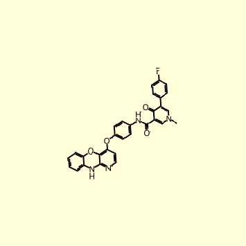 Cn1cc(C(=O)Nc2ccc(Oc3ccnc4c3Oc3ccccc3N4)cc2)c(=O)c(-c2ccc(F)cc2)c1